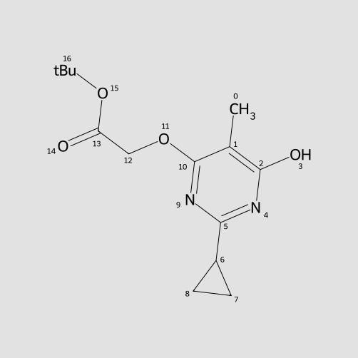 Cc1c(O)nc(C2CC2)nc1OCC(=O)OC(C)(C)C